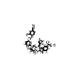 N#Cc1ccc(COc2ccnc(N3CCN(Cc4nc5ccc(C(=O)O)cc5n4Cc4cncs4)[C@H]4C[C@H]43)n2)c(F)c1